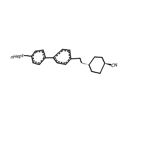 CCCCCCCc1ccc(-c2ccc(CC[C@H]3CC[C@H](C#N)CC3)cc2)cc1